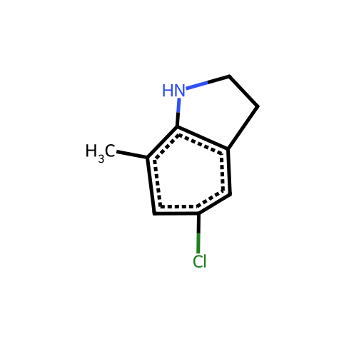 Cc1cc(Cl)cc2c1NCC2